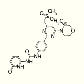 C[C@H]1COCCN1c1cc(CS(C)(=O)=O)nc(-c2ccc(NC(=O)Nc3cccc(=O)[nH]3)cc2)n1